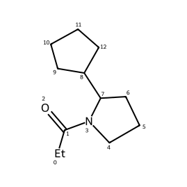 CCC(=O)N1CCCC1C1CCCC1